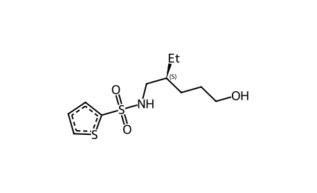 CC[C@@H](CCCO)CNS(=O)(=O)c1cccs1